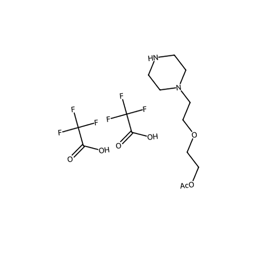 CC(=O)OCCOCCN1CCNCC1.O=C(O)C(F)(F)F.O=C(O)C(F)(F)F